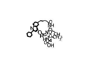 C=C[C@@H]1C[C@]1(NC(=O)[C@@H]1C[C@@H]2CN1C(=O)[C@H](CCCC)NC(=O)CC/C=C/c1ccc3nc(-c4ccccc4)cc(c3c1)O2)C(=O)O